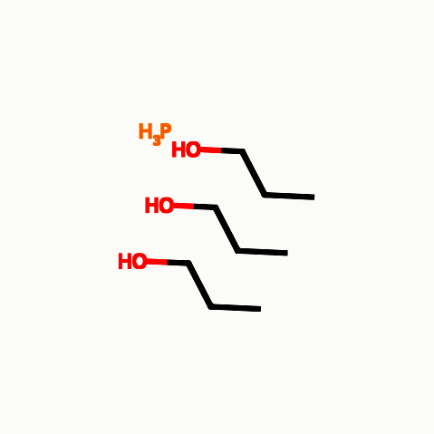 CCCO.CCCO.CCCO.P